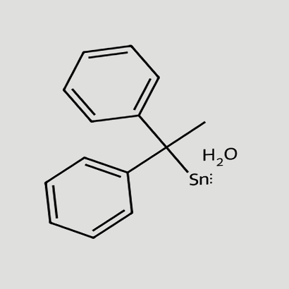 C[C]([Sn])(c1ccccc1)c1ccccc1.O